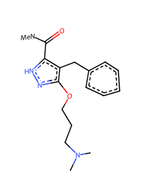 CNC(=O)c1[nH]nc(OCCCN(C)C)c1Cc1ccccc1